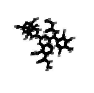 COc1c(C[C@H](NC(=O)C(NC(=O)OC(C)(C)C)c2cc(F)c(O)c(F)c2F)B2O[C@@H]3C[C@@H]4C[C@@H](C4(C)C)[C@]3(C)O2)cccc1C(=O)OC(C)(C)C